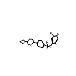 Fc1ccc(OC(F)(F)C2CCC(C3CCC(C4CCC4)CO3)CC2)cc1F